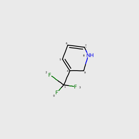 FC(F)(F)C1=CC=[C]NC1